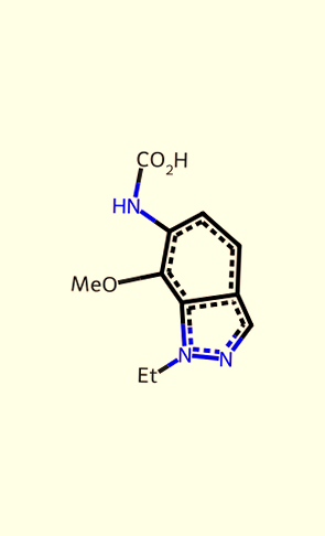 CCn1ncc2ccc(NC(=O)O)c(OC)c21